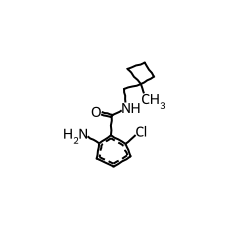 CC1(CNC(=O)c2c(N)cccc2Cl)CCC1